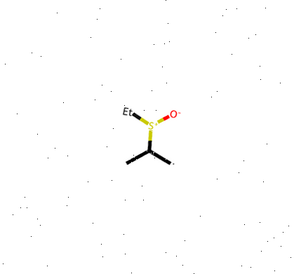 [CH2]C(C)[S+]([O-])CC